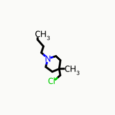 CCCCN1CCC(C)(CCl)CC1